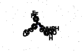 O=C(/C=C/C=C(\c1ccc(OCC2CCOCC2)cc1)c1ccc(C(F)(F)F)cc1)Nc1cccc2c1CC(O)C(=O)N2